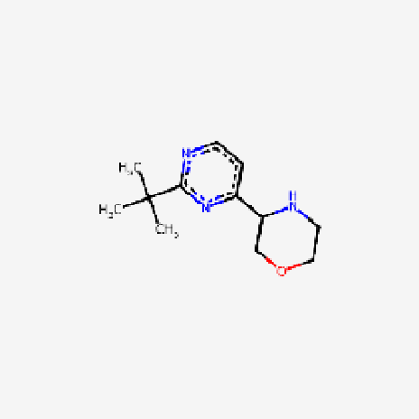 CC(C)(C)c1nccc(C2COCCN2)n1